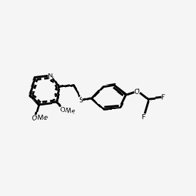 COc1ccnc(CSC2C=CC(OC(F)F)=CC2)c1OC